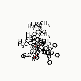 CC[Si](CC)(CC)OC1CCC2(C)C(CCC3(C)C2CC=C2C4CC(C)(C)CC[C@]4(C(=O)O[C@@H]4OC(COCc5ccccc5)C(N=[N+]=[N-])C(OCc5ccccc5)C4O[C@@H]4OC(C)[C@H](O[C@@H]5OC[C@@H](OCc6ccccc6)C(OCc6ccccc6)C5OCc5ccccc5)C5OC(C)(C)OC54)C(O[Si](CC)(CC)CC)CC23C)C1(C)C=O